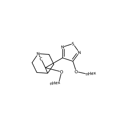 CCCCCCOc1nsnc1C1(OCCCCCC)CN2CCC1CC2